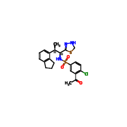 CC(=O)c1cc(S(=O)(=O)N[C@H](C2=NNCS2)[C@H](C)c2cccc3c2CCC3)ccc1Cl